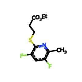 CCOC(=O)CCSc1nc(C)c(F)cc1F